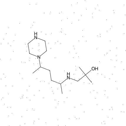 CC(CCC(C)N1CCNCC1)NCC(C)(C)O